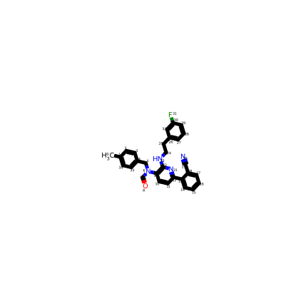 Cc1ccc(CN(C=O)c2ccc(-c3ccccc3C#N)nc2NCCc2cccc(F)c2)cc1